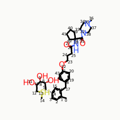 Cc1ccc([C@H]2[C@H](O)[C@H](O)[C@H](O)C[SH]2C)cc1Cc1ccc(OCCCC(=O)NC2(C(=O)N3CCN(C)CC3)CCCC2)cc1